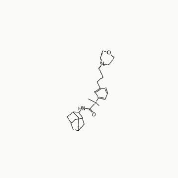 CC(C)(C(=O)NC1C2CC3CC(C2)CC1C3)c1cccc(CCCN2CCOCC2)c1